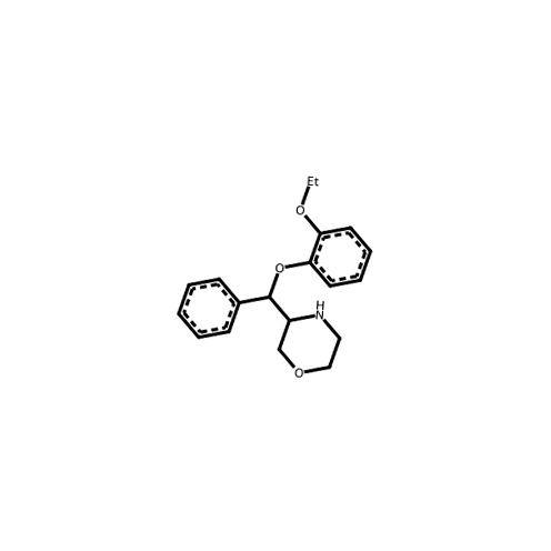 CCOc1ccccc1OC(c1ccccc1)C1COCCN1